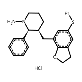 CCSc1cc2c(c(C[C@@H]3CCCN(N)[C@@H]3c3ccccc3)c1)OCC2.Cl